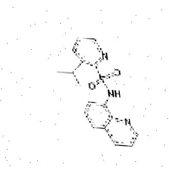 CC(C)c1cccnc1S(=O)(=O)Nc1cccc2cccnc12